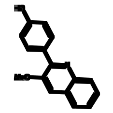 COc1cc2ccccc2nc1-c1ccc(O)cc1